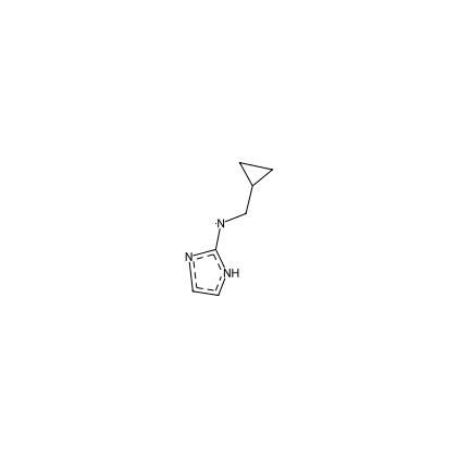 c1c[nH]c([N]CC2CC2)n1